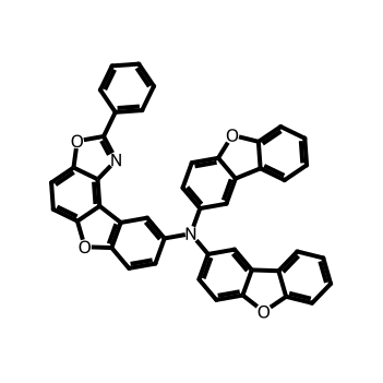 c1ccc(-c2nc3c(ccc4oc5ccc(N(c6ccc7oc8ccccc8c7c6)c6ccc7oc8ccccc8c7c6)cc5c43)o2)cc1